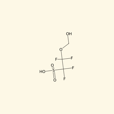 O=S(=O)(O)C(F)(F)C(F)(F)OCO